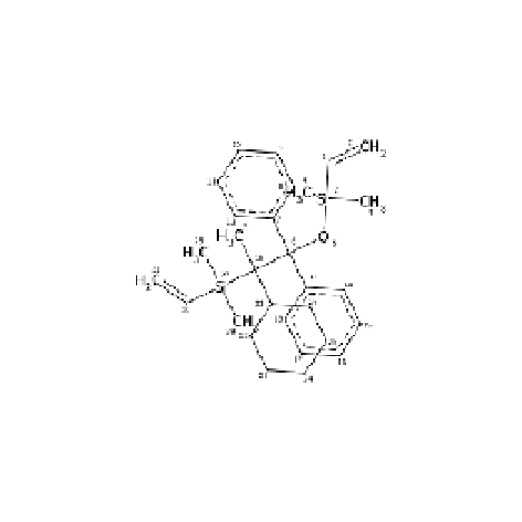 C=C[Si](C)(C)OC(c1ccccc1)(c1ccccc1)C(C)(C1CCCCC1)[Si](C)(C)C=C